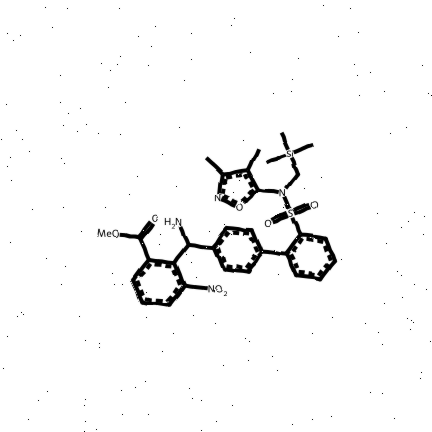 COC(=O)c1cccc([N+](=O)[O-])c1C(N)c1ccc(-c2ccccc2S(=O)(=O)N(C[Si](C)(C)C)c2onc(C)c2C)cc1